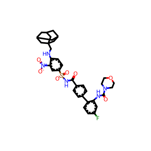 O=C(NS(=O)(=O)c1ccc(NCC23CC4CC(CC(C4)C2)C3)c([N+](=O)[O-])c1)c1ccc(-c2ccc(F)cc2NC(=O)N2CCOCC2)cc1